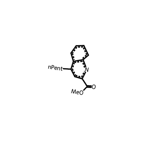 CCCCCc1cc(C(=O)OC)nc2ccccc12